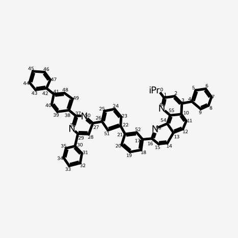 CC(C)c1cc(-c2ccccc2)c2ccc3ccc(-c4cccc(-c5cccc(-c6cc(-c7ccccc7)nc(-c7ccc(-c8ccccc8)cc7)n6)c5)c4)nc3c2n1